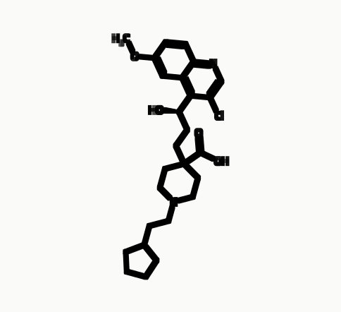 COc1ccc2ncc(Cl)c([C@H](O)CCC3(C(=O)O)CCN(CCC4CCCC4)CC3)c2c1